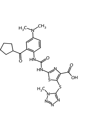 CN(C)c1ccc(NC(=O)Nc2nc(C(=O)O)c(Sc3nnnn3C)s2)c(C(=O)C2CCCC2)c1